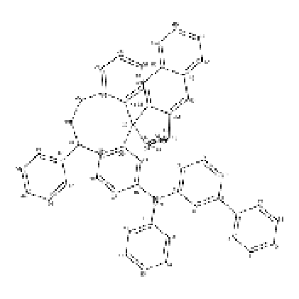 c1ccc(-c2cccc(N(c3ccccc3)c3ccc4c(c3)C3(c5ccccc5CCC4c4ccccc4)c4ccccc4-c4cc5ccccc5cc43)c2)cc1